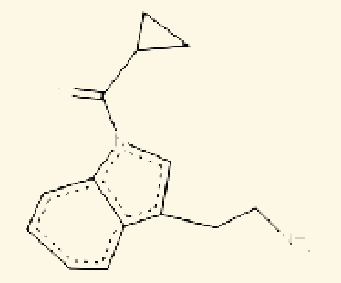 NCCc1cn(C(=O)C2CC2)c2ccccc12